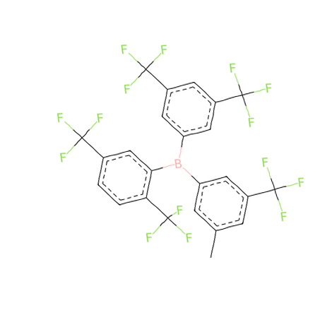 Cc1cc(B(c2cc(C(F)(F)F)cc(C(F)(F)F)c2)c2cc(C(F)(F)F)ccc2C(F)(F)F)cc(C(F)(F)F)c1